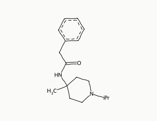 CC(C)N1CCC(C)(NC(=O)Cc2ccccc2)CC1